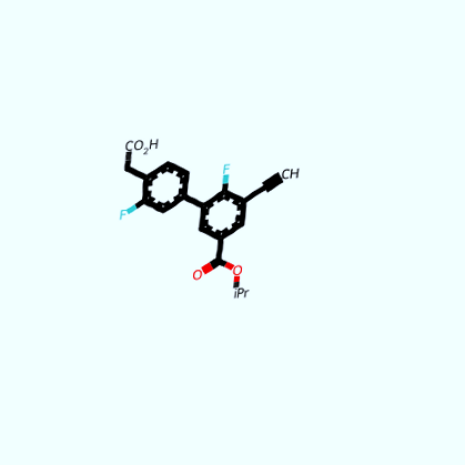 C#Cc1cc(C(=O)OC(C)C)cc(-c2ccc(CC(=O)O)c(F)c2)c1F